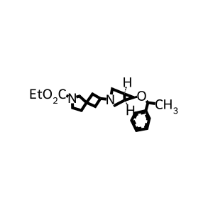 CCOC(=O)N1CCC2(CC(N3C[C@@H]4[C@H](C3)[C@@H]4OC(C)c3ccccc3)C2)C1